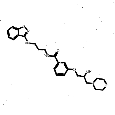 O=C(NCCCNc1nsc2ccccc12)c1cccc(OCC(O)CN2CCOCC2)c1